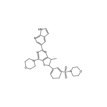 CC1c2nc(-c3cnc4[nH]ccc4c3)nc(N3CCOCC3)c2SC1C1=CCCC(S(=O)(=O)N2CCOCC2)=C1